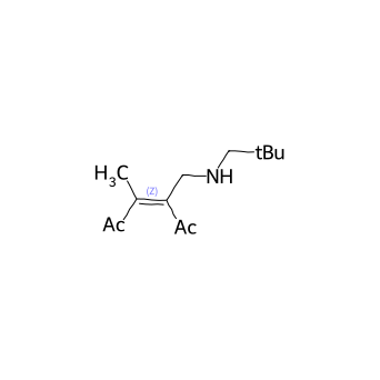 CC(=O)/C(C)=C(/CNCC(C)(C)C)C(C)=O